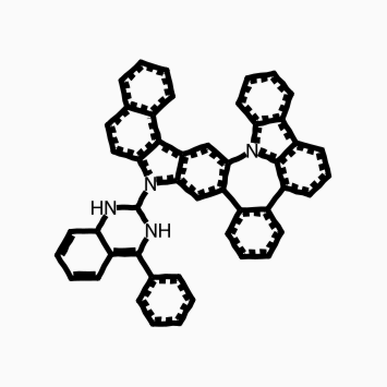 C1=CC2=C(c3ccccc3)NC(n3c4cc5c(cc4c4c6ccccc6ccc43)-n3c4ccccc4c4cccc(c43)-c3ccccc3-5)NC2C=C1